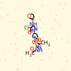 CC(=O)Nc1nc(C)c(S(=O)(=O)N2CCC(n3ncc(NC[C@H]4CCCOC4)c(Cl)c3=O)CC2)s1